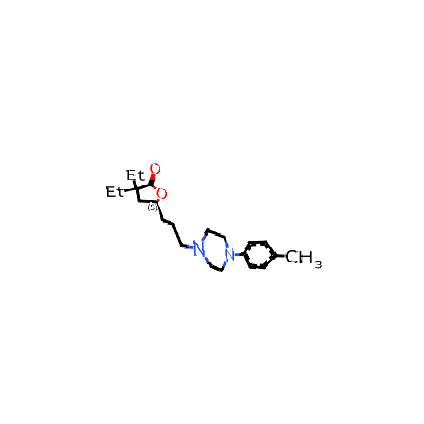 CCC1(CC)C[C@H](CCCN2CCN(c3ccc(C)cc3)CC2)OC1=O